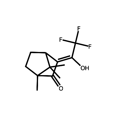 CC12CCC(C(=C(O)C(F)(F)F)C1=O)C2(C)C